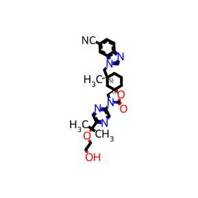 CC(C)(OCCO)c1cnc(N2C[C@@]3(CCC[C@](C)(Cn4cnc5ccc(C#N)cc54)C3)OC2=O)cn1